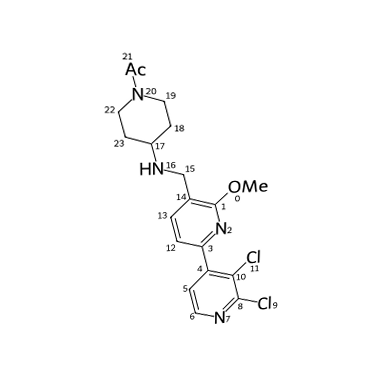 COc1nc(-c2ccnc(Cl)c2Cl)ccc1CNC1CCN(C(C)=O)CC1